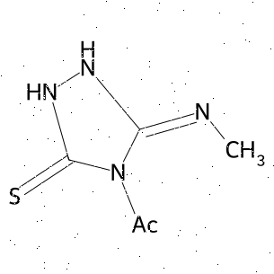 C/N=c1/[nH][nH]c(=S)n1C(C)=O